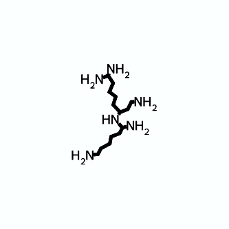 NCCCCCC(N)NC(CCN)CCCCC(N)N